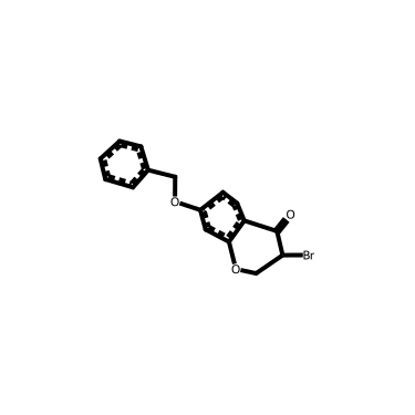 O=C1c2ccc(OCc3ccccc3)cc2OCC1Br